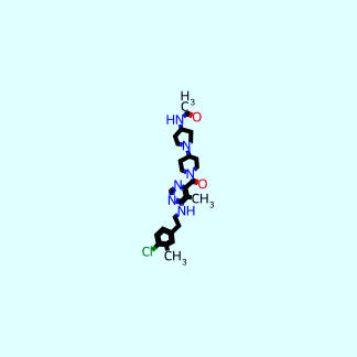 CC(=O)NC1CCN(C2CCN(C(=O)c3ncnc(NCCc4ccc(Cl)c(C)c4)c3C)CC2)CC1